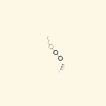 CCCCCC1CCC(c2ccc(-c3ccc(OC(F)(F)C(F)(F)C(F)(F)F)cc3)cc2)CC1